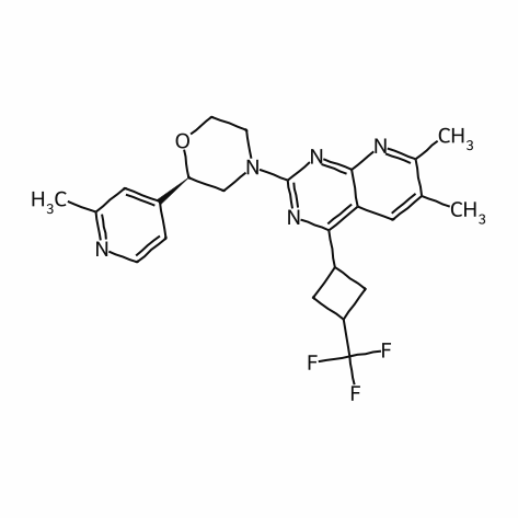 Cc1cc([C@@H]2CN(c3nc(C4CC(C(F)(F)F)C4)c4cc(C)c(C)nc4n3)CCO2)ccn1